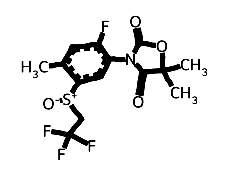 Cc1cc(F)c(N2C(=O)OC(C)(C)C2=O)cc1[S+]([O-])CC(F)(F)F